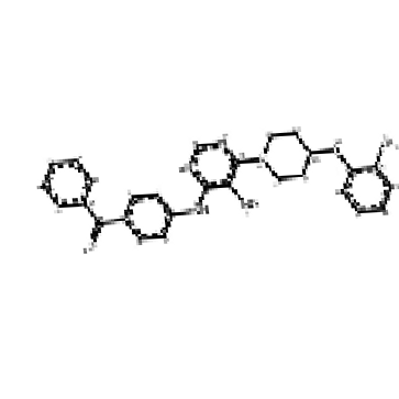 O=Nc1c(Nc2ccc(C(=O)c3ccccc3)cc2)ncnc1N1CCC(Oc2ccccc2C(F)(F)F)CC1